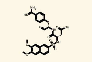 COc1cc2ccc(S(=O)(=O)N[C@@H](CC(=O)O)C(=O)N[C@H]([C]=O)Cc3ccc(C(=N)N)cc3)cc2cc1OC